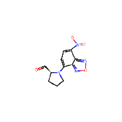 O=[C][C@@H]1CCCN1c1ccc([N+](=O)[O-])c2nonc12